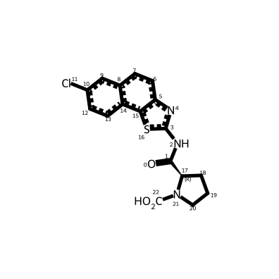 O=C(Nc1nc2ccc3cc(Cl)ccc3c2s1)[C@H]1CCCN1C(=O)O